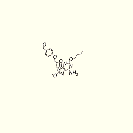 CCCCOc1nc(N)c2nc(OC)n(CC(O)COc3ccc(C=O)cc3)c2n1